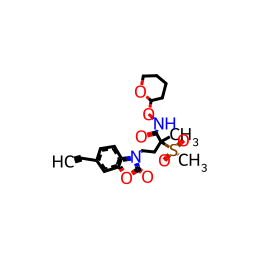 C#Cc1ccc2c(c1)oc(=O)n2CCC(C)(C(=O)NOC1CCCCO1)S(C)(=O)=O